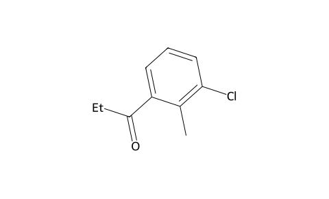 CCC(=O)c1cccc(Cl)c1C